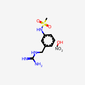 CS(=O)(=O)Nc1cccc(CNC(=N)N)c1.O=[N+]([O-])O